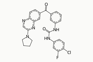 O=C(Nc1cccc(C(=O)c2ccc3ncc(N4CCCC4)nc3c2)c1)Nc1ccc(Cl)c(F)c1